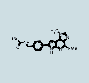 CNc1nc2[nH]c(-c3ccc(CNC(=O)C(C)(C)C)cc3)cc2c2c1ncn2C